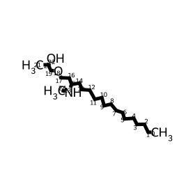 CCCCCCCCCCCCCCCC(CCOCC(C)O)NC